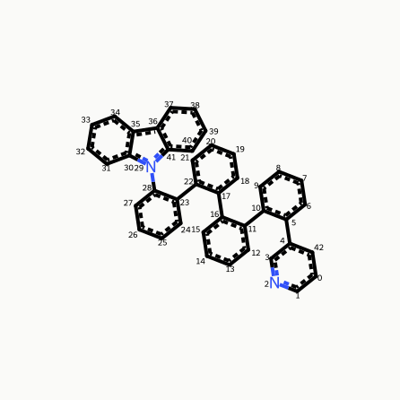 c1cncc(-c2ccccc2-c2ccccc2-c2ccccc2-c2ccccc2-n2c3ccccc3c3ccccc32)c1